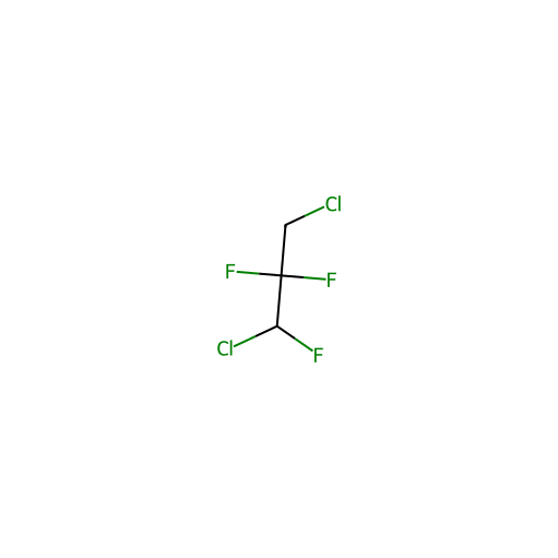 FC(Cl)C(F)(F)CCl